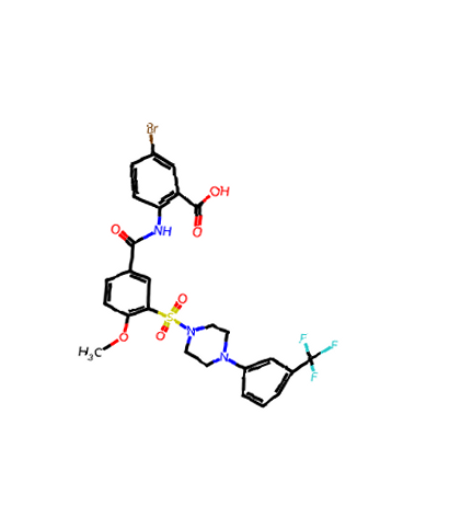 COc1ccc(C(=O)Nc2ccc(Br)cc2C(=O)O)cc1S(=O)(=O)N1CCN(c2cccc(C(F)(F)F)c2)CC1